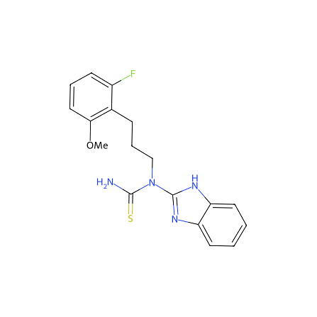 COc1cccc(F)c1CCCN(C(N)=S)c1nc2ccccc2[nH]1